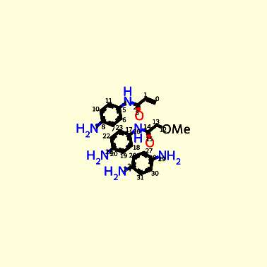 C=CC(=O)Nc1ccc(N)cc1.COCC(=O)Nc1ccc(N)cc1.Nc1ccc(N)cc1